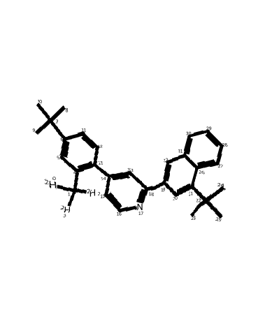 [2H]C([2H])([2H])c1cc(C(C)(C)C)ccc1-c1ccnc(-c2cc(C(C)(C)C)c3ccccc3c2)c1